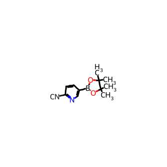 [C-]#[N+]c1ccc(B2OC(C)(C)C(C)(C)O2)cn1